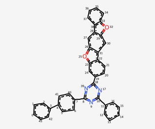 c1ccc(-c2ccc(-c3nc(-c4ccccc4)nc(-c4ccc5c(c4)oc4cc6c(cc45)oc4ccccc46)n3)cc2)cc1